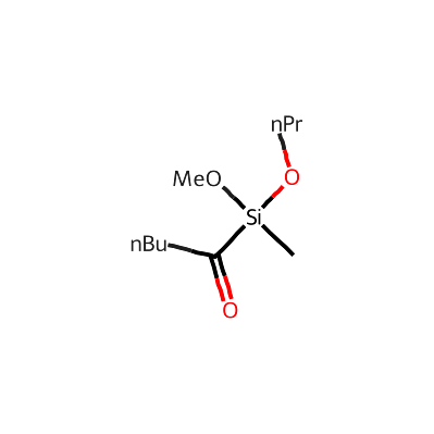 CCCCC(=O)[Si](C)(OC)OCCC